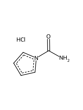 Cl.NC(=O)n1cccc1